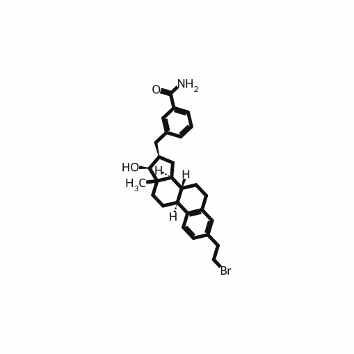 CC12CC[C@@H]3c4ccc(CCBr)cc4CC[C@H]3[C@@H]1C[C@H](Cc1cccc(C(N)=O)c1)[C@@H]2O